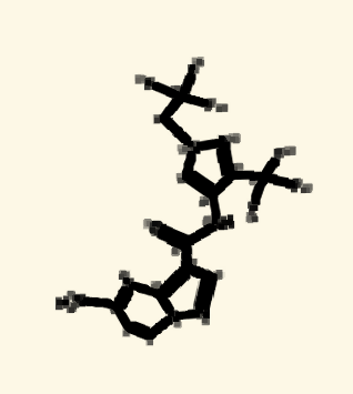 Nc1ccn2ncc(C(=O)Nc3cn(CC(F)(F)F)nc3C(F)(F)F)c2n1